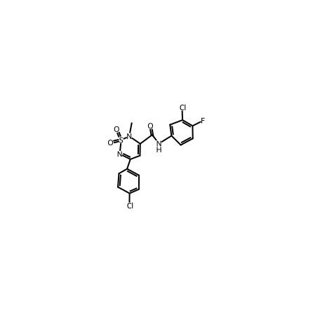 CN1C(C(=O)Nc2ccc(F)c(Cl)c2)=CC(c2ccc(Cl)cc2)=NS1(=O)=O